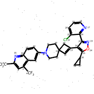 O=C(O)c1cc(C(F)(F)F)c2cc(N3CCC4(C=C(c5c(-c6ncccc6Cl)noc5C5CC5)C4)CC3)ccc2n1